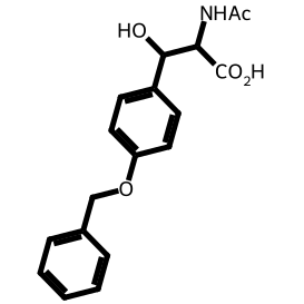 CC(=O)NC(C(=O)O)C(O)c1ccc(OCc2ccccc2)cc1